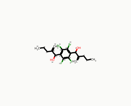 C=C(CCC)C(O)c1c(F)c(F)c(C(O)C(=C)CCC)c(Br)c1Br